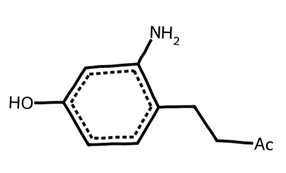 CC(=O)CCc1ccc(O)cc1N